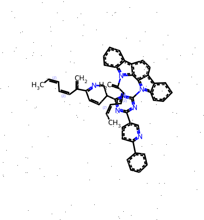 C=C(/C=C\C=C/C)C1=NCC(c2nc(-c3ccc(-c4ccccc4)nc3)nc(-n3c4ccccc4c4ccc5c6ccccc6n(C(=C)/C=C\C=C/C)c5c43)n2)C=C1